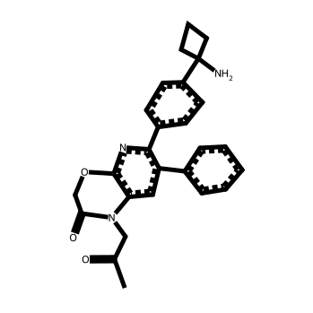 CC(=O)CN1C(=O)COc2nc(-c3ccc(C4(N)CCC4)cc3)c(-c3ccccc3)cc21